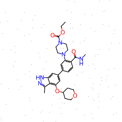 CCOC(=O)N1CCN(c2cc(-c3cc(OC4CCOCC4)c4c(C)n[nH]c4c3)ccc2C(=O)NC)CC1